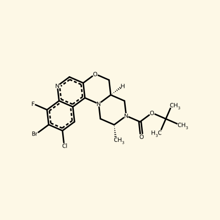 C[C@@H]1CN2c3c(cnc4c(F)c(Br)c(Cl)cc34)OC[C@H]2CN1C(=O)OC(C)(C)C